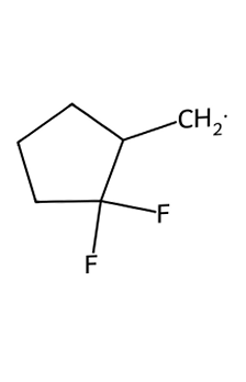 [CH2]C1CCCC1(F)F